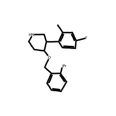 Cc1cc(F)ccc1C1CNCCC1OCc1ccccc1C(C)C